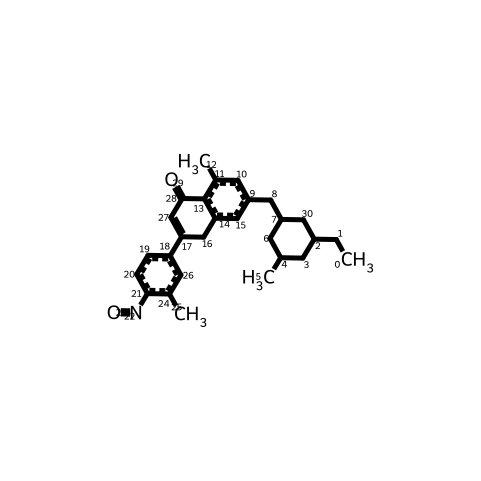 CCC1CC(C)CC(Cc2cc(C)c3c(c2)CC(c2ccc(N=O)c(C)c2)=CC3=O)C1